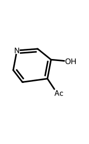 CC(=O)c1ccncc1O